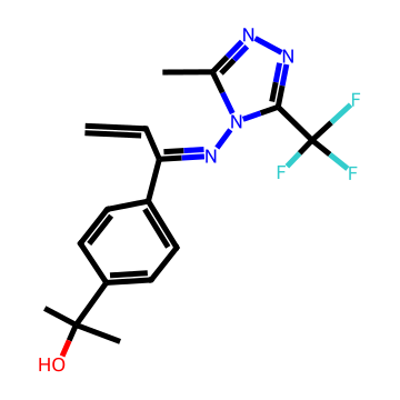 C=C/C(=N\n1c(C)nnc1C(F)(F)F)c1ccc(C(C)(C)O)cc1